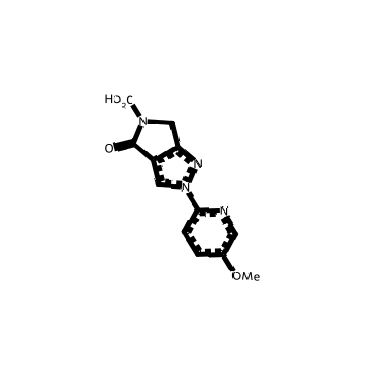 COc1ccc(-n2cc3c(n2)CN(C(=O)O)C3=O)nc1